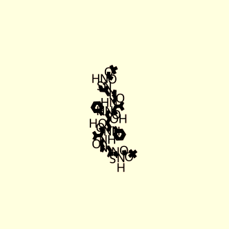 CC(C)[C@H](NC(=O)N(C)Cc1csc(NC(=O)OC(C)(C)C)n1)C(=O)N[C@@H](Cc1ccccc1)[C@H](O)[C@@H](O)[C@H](Cc1ccccc1)NC(=O)[C@@H](NC(=O)N(C)Cc1csc(NC(=O)OC(C)(C)C)n1)C(C)C